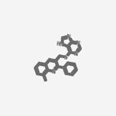 Cc1cccc2cc(CSc3ncnc4nc[nH]c34)c(-c3ccccc3)nc12